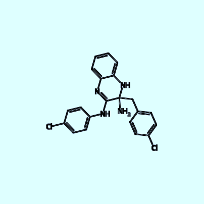 NC1(Cc2ccc(Cl)cc2)Nc2ccccc2N=C1Nc1ccc(Cl)cc1